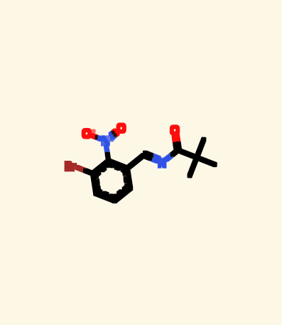 CC(C)(C)C(=O)/N=C/c1cccc(Br)c1[N+](=O)[O-]